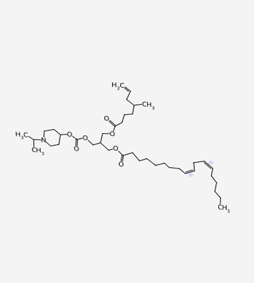 C=CCC(C)CCCC(=O)OCC(COC(=O)CCCCCCC/C=C\C/C=C\CCCCC)COC(=O)OC1CCN(C(C)C)CC1